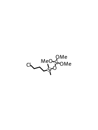 CO[Si](OC)(OC)O[Si](C)(C)CCCCl